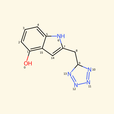 Oc1cccc2[nH]c(CC3N=NN=N3)cc12